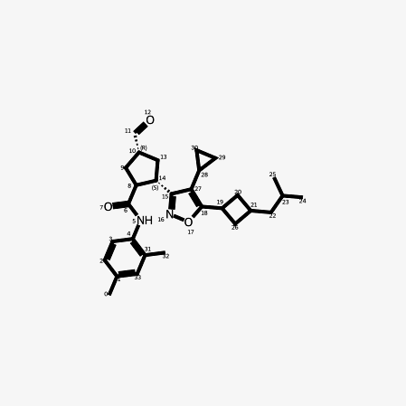 Cc1ccc(NC(=O)C2C[C@H](C=O)C[C@@H]2c2noc(C3CC(CC(C)C)C3)c2C2CC2)c(C)c1